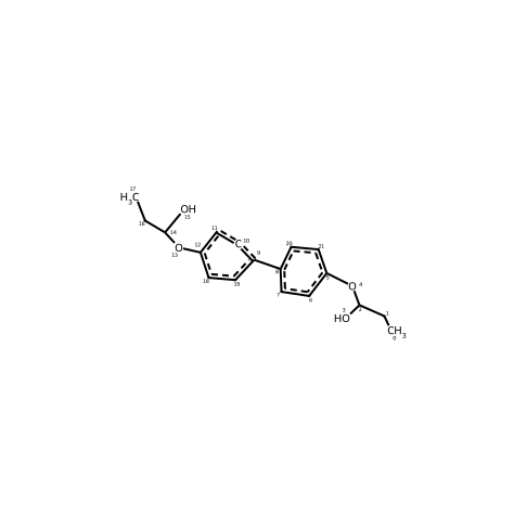 CCC(O)Oc1ccc(-c2ccc(OC(O)CC)cc2)cc1